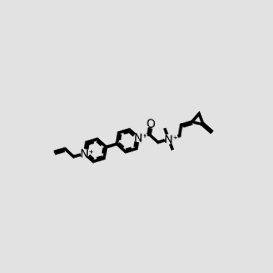 C=CC[n+]1ccc(-c2cc[n+](C(=O)C[N+](C)(C)C/C=C3/CC3=C)cc2)cc1